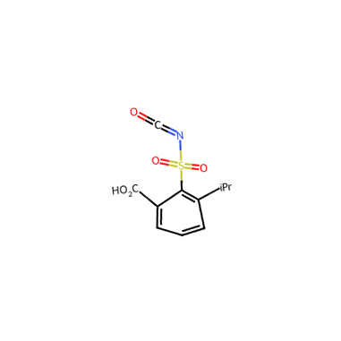 CC(C)c1cccc(C(=O)O)c1S(=O)(=O)N=C=O